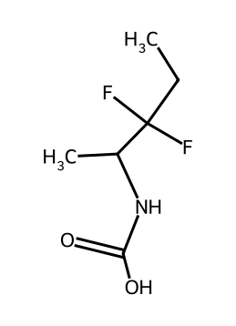 CCC(F)(F)C(C)NC(=O)O